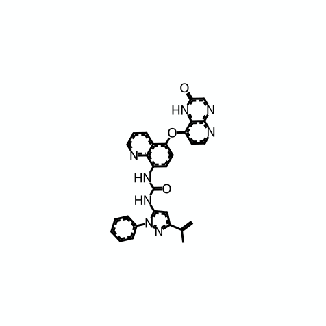 C=C(C)c1cc(NC(=O)Nc2ccc(Oc3ccnc4ncc(=O)[nH]c34)c3cccnc23)n(-c2ccccc2)n1